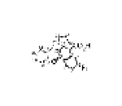 O=C(O)C1c2cc(F)ccc2C(=O)N(Cc2ccccc2)C12CCCC2